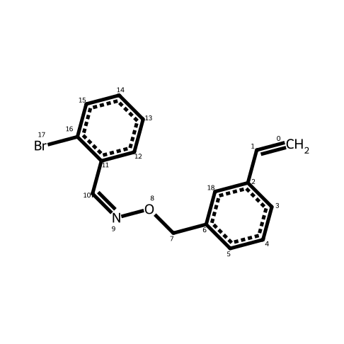 C=Cc1cccc(CO/N=[C]\c2ccccc2Br)c1